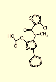 CN(C(=O)c1sccc1Cl)c1cc(-c2ccccc2)sc1OC(=O)O